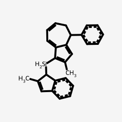 CC1=Cc2ccccc2C1[SiH2]C1=C(C)C=C2C1=CC=CCC2c1ccccc1